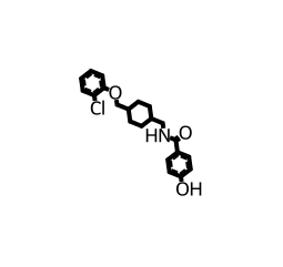 O=C(NCC1CCC(COc2ccccc2Cl)CC1)c1ccc(O)cc1